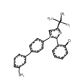 CC(C)(O)c1cn(-c2ccc(-c3cccc(N)c3)cc2)c(-c2ccccc2Cl)n1